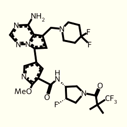 COc1ncc(-c2cc(CN3CCC(F)(F)CC3)c3c(N)ncnn23)cc1C(=O)N[C@@H]1CN(C(=O)C(C)(C)C(F)(F)F)C[C@@H]1F